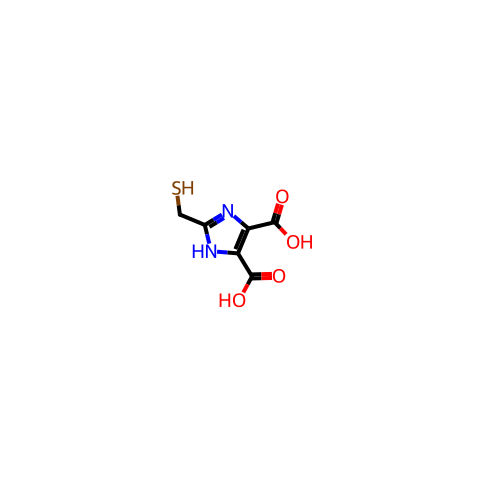 O=C(O)c1nc(CS)[nH]c1C(=O)O